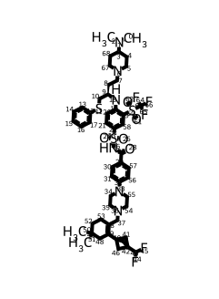 CN(C)C1CCN(CC[C@H](CSc2ccccc2)Nc2ccc(S(=O)(=O)NC(=O)c3ccc(N4CCN(CC5=C(C67CC(C(F)F)(C6)C7)CC(C)(C)CC5)CC4)cc3)cc2S(=O)(=O)C(F)(F)F)CC1